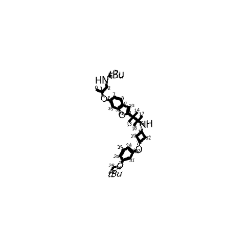 CC(CNC(C)(C)C)Oc1ccc2cc(C(C)(C)C(C)(C)N[C@H]3C[C@@H](Oc4cccc(OCC(C)(C)C)c4)C3)oc2c1